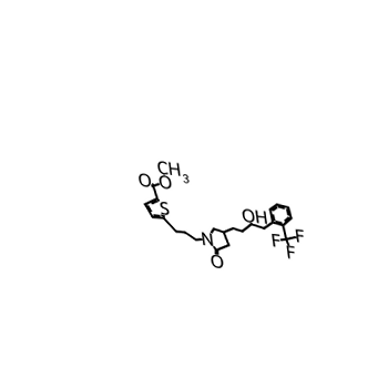 COC(=O)c1ccc(CCCN2CC(CCC(O)Cc3ccccc3C(F)(F)F)CC2=O)s1